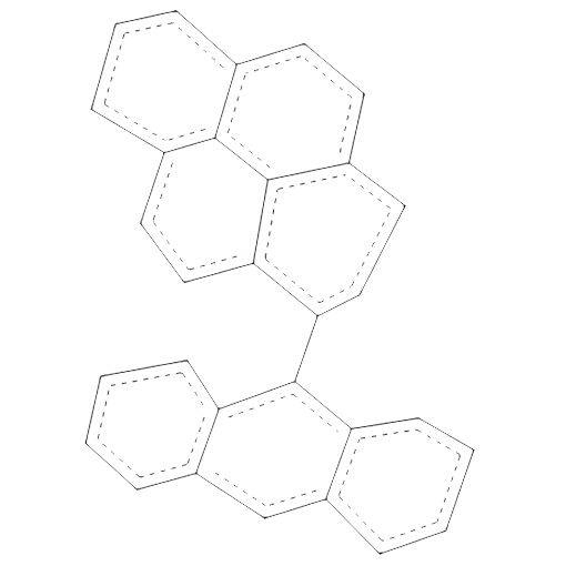 c1ccc2c(-c3ccc4ccc5cccc6ccc3c4c56)c3ccccc3cc2c1